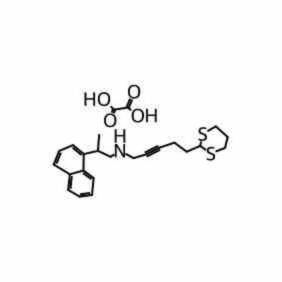 CC(CNCC#CCCC1SCCCS1)c1cccc2ccccc12.O=C(O)C(=O)O